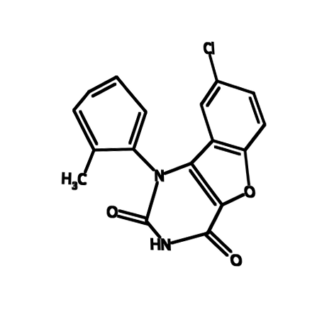 Cc1ccccc1-n1c(=O)[nH]c(=O)c2oc3ccc(Cl)cc3c21